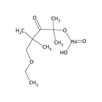 CCOCC(C)(C)C(=O)C(C)(C)O[PH](=O)O